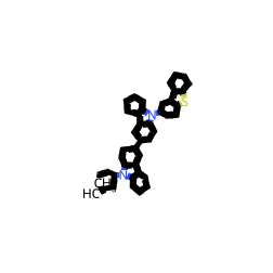 C#C/C=C(\C=C/C)n1c2ccccc2c2cc(-c3ccc4c(c3)c3ccccc3n4-c3ccc4sc5ccccc5c4c3)ccc21